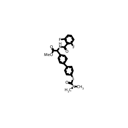 COC(=O)C(NC(=O)c1c(F)cccc1F)c1ccc(-c2ccc(SC(=O)N(C)C)cc2)cc1